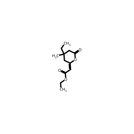 CCOC(=O)C=C1CC(C)(CC)CC(=O)O1